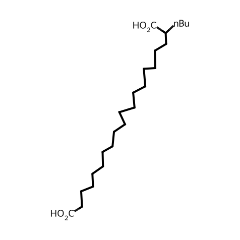 CCCCC(CCCCCCCCCCCCCCCCCC(=O)O)C(=O)O